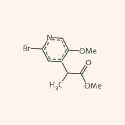 COC(=O)C(C)c1cc(Br)ncc1OC